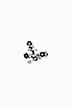 CC(C)CN(C[C@@H](O)[C@H](Cc1ccccc1)NC(=O)[C@@H](NC(=O)CN1CCCC1)C(C)(C)C)S(=O)(=O)c1ccc2ncsc2c1.Cl.Cl